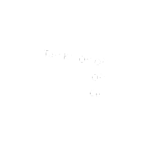 [Ce].[K+].[O-2].[O-2].[O-2].[Ta+5]